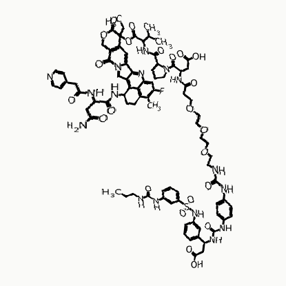 CCCNC(=O)Nc1cccc(S(=O)(=O)Nc2cccc(C(CC(=O)O)NC(=O)Nc3ccc(NC(=O)NCCOCCOCCOCCC(=O)NC(CC(=O)O)C(=O)N4CCCC4C(=O)NC(C(=O)OC4(CC)C(=O)OCc5c4cc4n(c5=O)Cc5c-4nc4cc(F)c(C)c6c4c5C(NC(=O)C(CC(N)=O)NC(=O)Cc4ccncc4)CC6)C(C)C)cc3)c2)c1